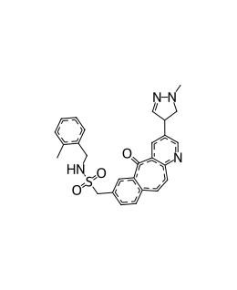 Cc1ccccc1CNS(=O)(=O)Cc1ccc2ccc3ncc(C4C=NN(C)C4)cc3c(=O)c2c1